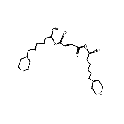 CCCCC(CCCCCN1CCOCC1)OC(=O)/C=C/C(=O)OC(CCCC)CCCCCN1CCOCC1